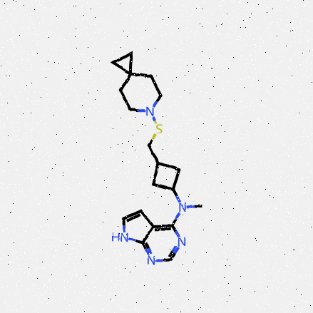 CN(c1ncnc2[nH]ccc12)C1CC(CSN2CCC3(CC2)CC3)C1